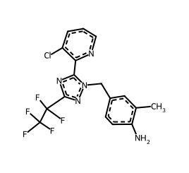 Cc1cc(Cn2nc(C(F)(F)C(F)(F)F)nc2-c2ncccc2Cl)ccc1N